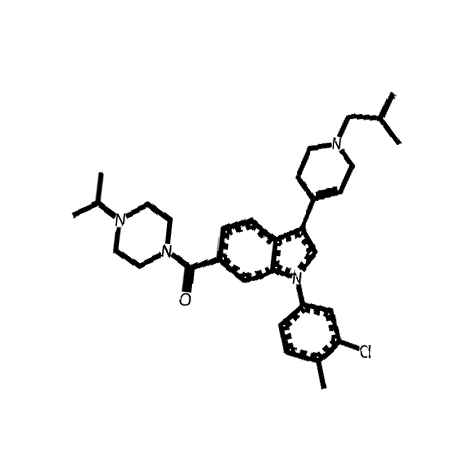 Cc1ccc(-n2cc(C3=CCN(CC(C)C)CC3)c3ccc(C(=O)N4CCN(C(C)C)CC4)cc32)cc1Cl